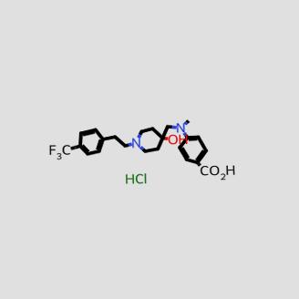 CN(CC1(O)CCN(CCc2ccc(C(F)(F)F)cc2)CC1)c1ccc(C(=O)O)cc1.Cl